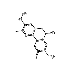 CCCNc1cc2c(nc1C)-c1cc(=O)c(C(=O)O)cn1[C@H](C(C)C)C2